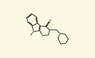 Cn1c2c(c3ccccc31)C(=O)C(CN1CCCCC1)CS2